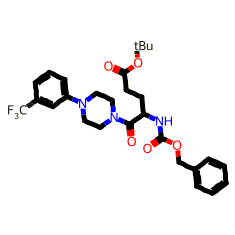 CC(C)(C)OC(=O)CCC(NC(=O)OCc1ccccc1)C(=O)N1CCN(c2cccc(C(F)(F)F)c2)CC1